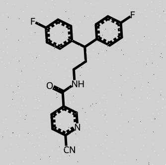 N#Cc1ccc(C(=O)NCCC(c2ccc(F)cc2)c2ccc(F)cc2)cn1